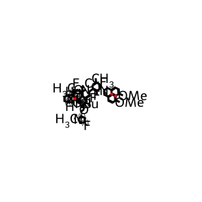 COc1ccc(CN(Cc2ccc(OC)cc2)c2c(F)c(C)c(C(F)(F)F)c(-c3nc4c5c(nc(OC[C@@H]6C[C@@H](F)CN6C)nc5c3F)N3C[C@H]5CC[C@@H]([C@H]3[C@H](C)O4)N5C(=O)OC(C)(C)C)c2F)cc1